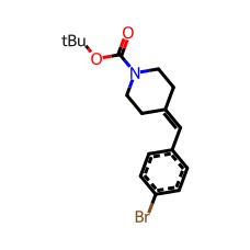 CC(C)(C)OC(=O)N1CCC(=Cc2ccc(Br)cc2)CC1